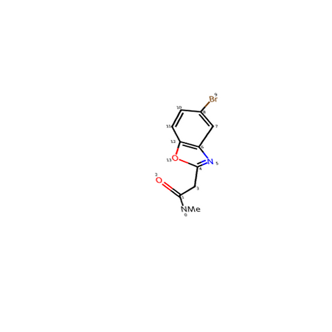 CNC(=O)Cc1nc2cc(Br)ccc2o1